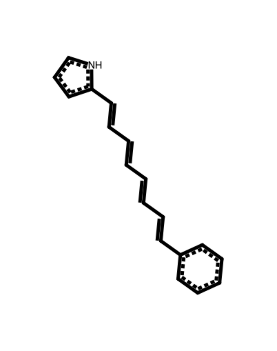 C(/C=C/C=C/c1ccc[nH]1)=C\C=C\c1ccccc1